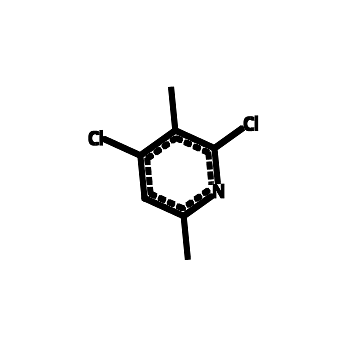 Cc1cc(Cl)c(C)c(Cl)n1